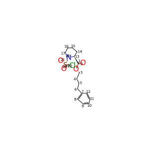 O=C(OCCCCc1ccccc1)[C@@H]1CCCCN1S(=O)(=O)Cl